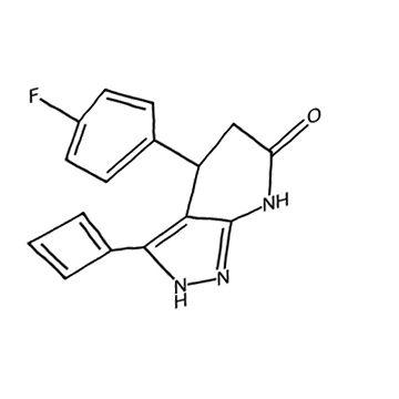 O=C1CC(c2ccc(F)cc2)c2c(n[nH]c2C2=CC=C2)N1